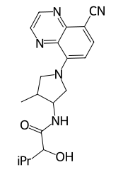 CC(C)C(O)C(=O)NC1CN(c2ccc(C#N)c3nccnc23)CC1C